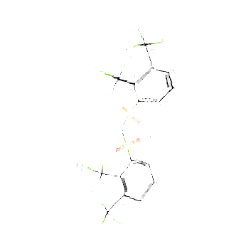 O=S(=O)([N]S(=O)(=O)c1cccc(C(F)(F)F)c1C(F)(F)F)c1cccc(C(F)(F)F)c1C(F)(F)F